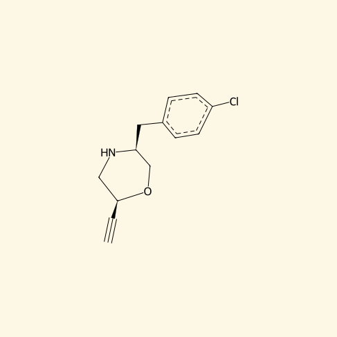 C#C[C@H]1CN[C@@H](Cc2ccc(Cl)cc2)CO1